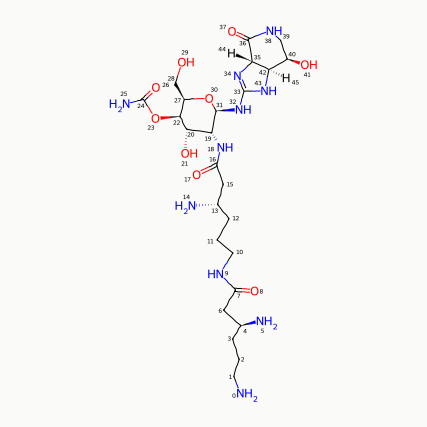 NCCC[C@H](N)CC(=O)NCCC[C@H](N)CC(=O)N[C@@H]1[C@H](O)[C@@H](OC(N)=O)[C@@H](CO)O[C@H]1NC1=N[C@@H]2C(=O)NC[C@@H](O)[C@H]2N1